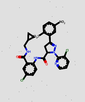 O=C(NCC1CC1)c1cc(Cl)ccc1NC(=O)C1CC(c2cc([N+](=O)[O-])ccc2S(=O)(=O)O)=NN1c1ncccc1Cl